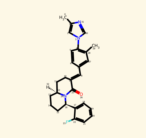 Cc1cn(-c2ccc(/C=C3\CC[C@@H]4CCC[C@H](c5ccccc5F)N4C3=O)cc2C)cn1